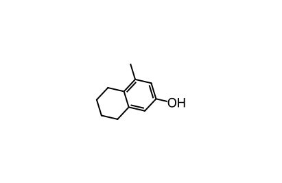 Cc1cc(O)cc2c1CCCC2